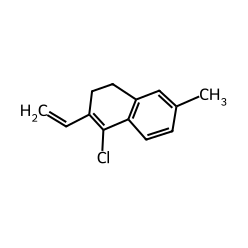 C=CC1=C(Cl)c2ccc(C)cc2CC1